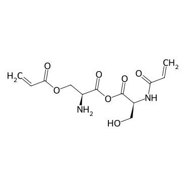 C=CC(=O)N[C@@H](CO)C(=O)OC(=O)[C@@H](N)COC(=O)C=C